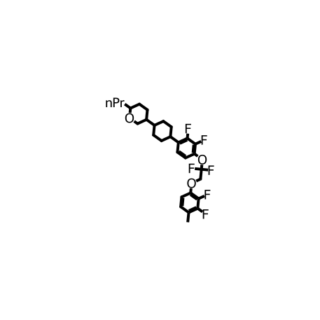 CCCC1CCC(C2CCC(c3ccc(OC(F)(F)COc4ccc(C)c(F)c4F)c(F)c3F)CC2)CO1